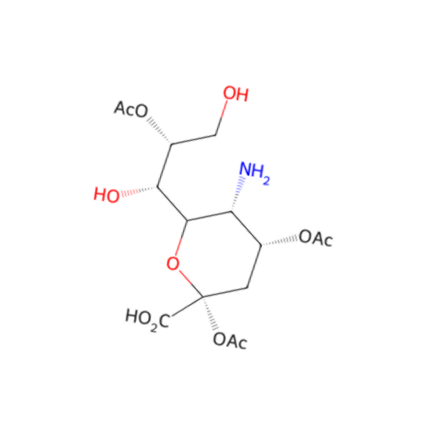 CC(=O)O[C@@H]1C[C@@](OC(C)=O)(C(=O)O)OC([C@H](O)[C@@H](CO)OC(C)=O)[C@@H]1N